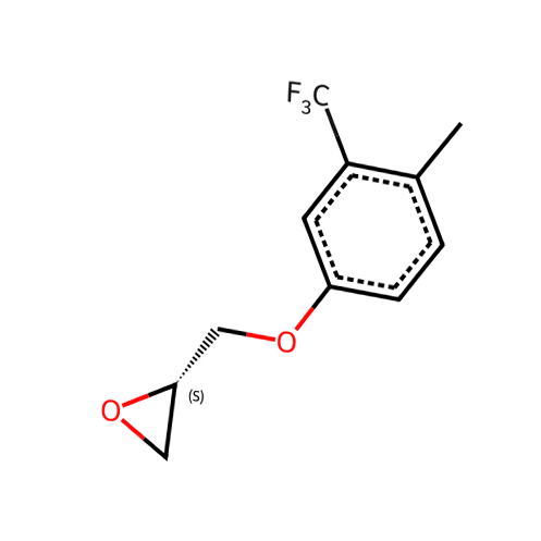 Cc1ccc(OC[C@@H]2CO2)cc1C(F)(F)F